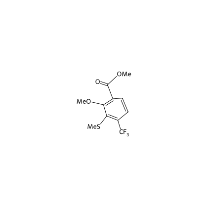 COC(=O)c1ccc(C(F)(F)F)c(SC)c1OC